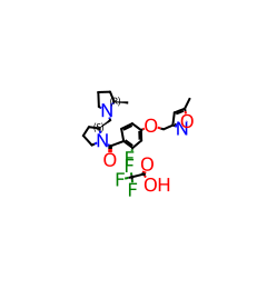 Cc1cc(COc2ccc(C(=O)N3CCC[C@H]3CN3CCC[C@H]3C)c(F)c2)no1.O=C(O)C(F)(F)F